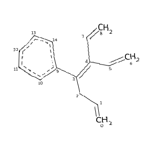 C=CCC(=C(C=C)C=C)c1ccccc1